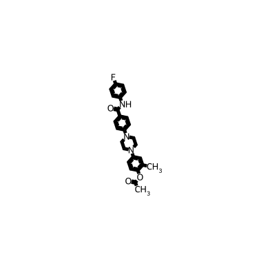 CC(=O)Oc1ccc(N2CCN(c3ccc(C(=O)Nc4ccc(F)cc4)cc3)CC2)cc1C